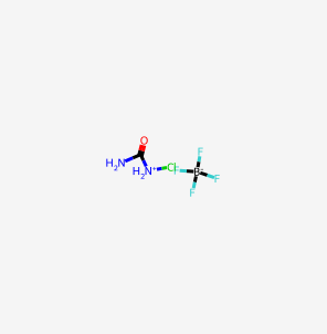 F[B-](F)(F)F.NC(=O)[NH2+]Cl